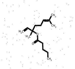 C=CC(C)(CCC=C(C)C)OC(=O)CCCC